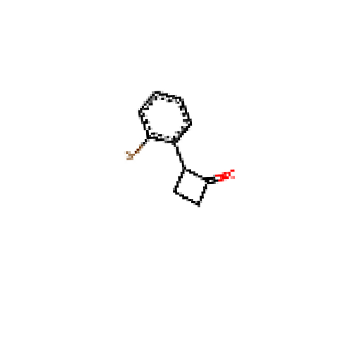 O=C1CCC1c1ccccc1Br